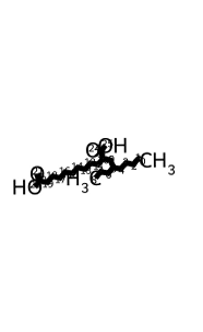 CCCCCC(CCC)CC(CCCCCCCCCC(=O)O)C(=O)O